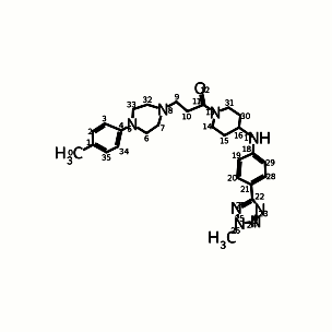 Cc1ccc(N2CCN(CCC(=O)N3CCC(Nc4ccc(-c5nnn(C)n5)cc4)CC3)CC2)cc1